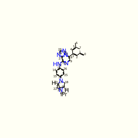 C=C/C=C(\C=C(C)C)c1cnc(Nc2ccc(N3C[C@@H]4C[C@H]3CN4C(C)C)cc2)c2ncnn12